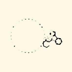 NS(=O)(=O)N1CCCCCCCCCCCCCCCCCCCCCCCCCCCCCC12CCC[C@@H]([C@@H]1c3ccccc3-c3cncn31)[C@@H]2O